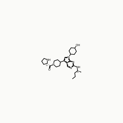 CCC[C@H](C)Nc1ncc2c(C3CCN(C(=O)[C@@H]4CCCN4)CC3)cn(C3CCC(O)CC3)c2n1